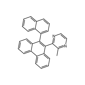 Cc1nccnc1-c1c(-c2cccc3ccccc23)c2ccccc2c2ccccc12